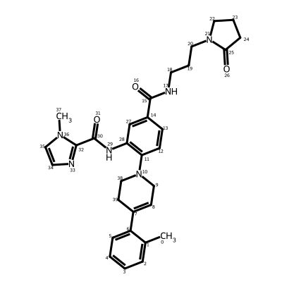 Cc1ccccc1C1=CCN(c2ccc(C(=O)NCCCN3CCCC3=O)cc2NC(=O)c2nccn2C)CC1